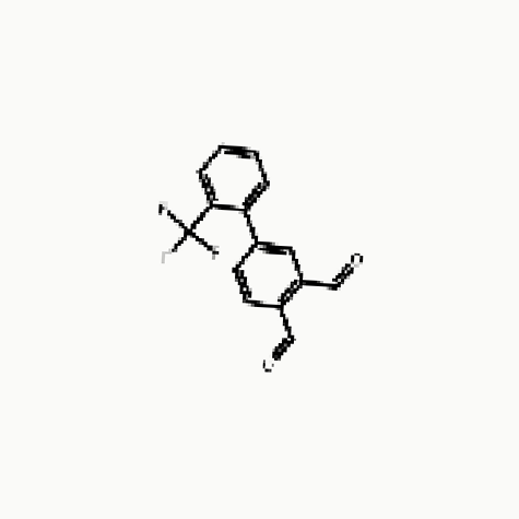 O=Cc1ccc(-c2ccccc2C(F)(F)F)cc1C=O